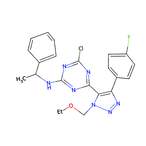 CCOCn1nnc(-c2ccc(F)cc2)c1-c1nc(Cl)nc(NC(C)c2ccccc2)n1